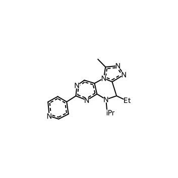 CCC1c2nnc(C)n2-c2cnc(-c3ccncc3)nc2N1C(C)C